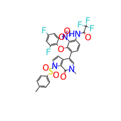 Cc1ccc(S(=O)(=O)n2ccc3c(-c4ccc(NC(=O)C(F)(F)F)c([N+](=O)[O-])c4Oc4ccc(F)cc4F)cn(C)c(=O)c32)cc1